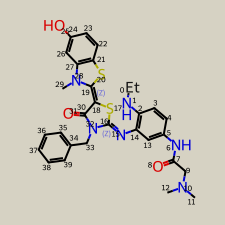 CCNc1ccc(NC(=O)CN(C)C)cc1/N=C1\S/C(=C2\Sc3ccc(O)cc3N2C)C(=O)N1Cc1ccccc1